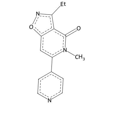 CCc1noc2cc(-c3ccncc3)n(C)c(=O)c12